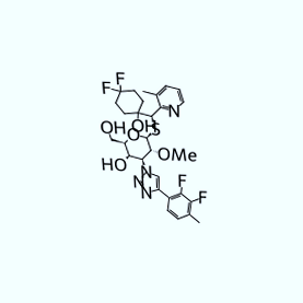 CO[C@@H]1[C@@H](n2cc(-c3ccc(C)c(F)c3F)nn2)[C@@H](O)[C@@H](CO)O[C@H]1S[C@H](c1ncccc1C)C1(O)CCC(F)(F)CC1